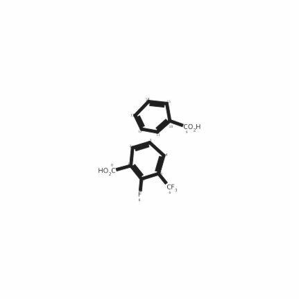 O=C(O)c1cccc(C(F)(F)F)c1F.O=C(O)c1ccccc1